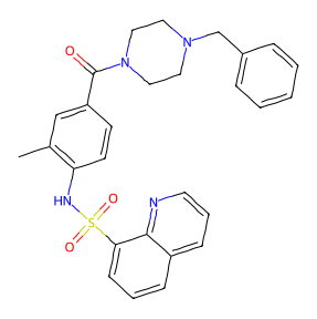 Cc1cc(C(=O)N2CCN(Cc3ccccc3)CC2)ccc1NS(=O)(=O)c1cccc2cccnc12